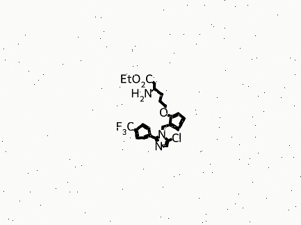 CCOC(=O)C[C@H](N)CCCOc1ccccc1Cn1c(Cl)cnc1-c1ccc(C(F)(F)F)cc1